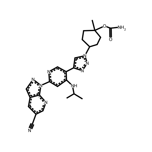 CC(C)Nc1cc(-n2ncc3cc(C#N)cnc32)ncc1-c1cn(C2CCC(C)(OC(N)=O)CC2)nn1